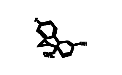 O=CC1(C2CC2)C=CC(O)=CC1c1ccc(F)cc1